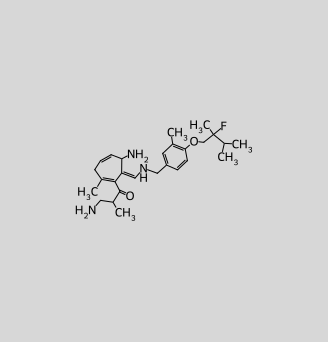 CC1=C(C(=O)C(C)CN)/C(=C/NCc2ccc(OCC(C)(F)C(C)C)c(C)c2)C(N)C=CC1